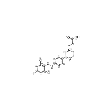 O=C(O)CCN1CCOC(c2ccc(OCc3c(Cl)cc(I)cc3Cl)cc2)C1